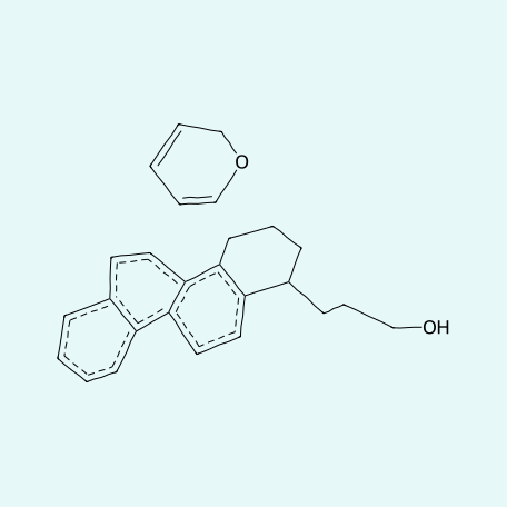 C1=CCOC=C1.OCCCC1CCCc2c1ccc1c2ccc2ccccc21